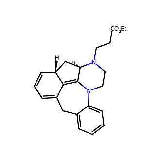 CCOC(=O)CCN1CCN2C3=C4C(=CC=C[C@@H]4C[C@H]31)Cc1ccccc12